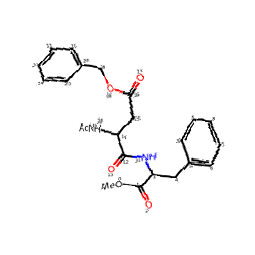 COC(=O)C(Cc1ccccc1)NC(=O)C(CC(=O)OCc1ccccc1)NC(C)=O